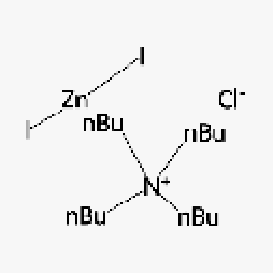 CCCC[N+](CCCC)(CCCC)CCCC.[Cl-].[I][Zn][I]